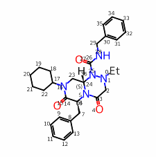 CCN1CC(=O)N2[C@@H](Cc3ccccc3)C(=O)N(C3CCCCC3)C[C@@H]2N1C(=O)NCc1ccccc1